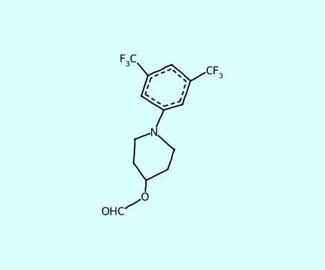 O=COC1CCN(c2cc(C(F)(F)F)cc(C(F)(F)F)c2)CC1